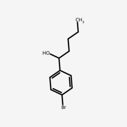 CCCCC(O)c1ccc(Br)cc1